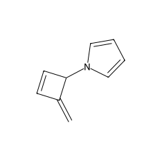 C=C1C=CC1n1cccc1